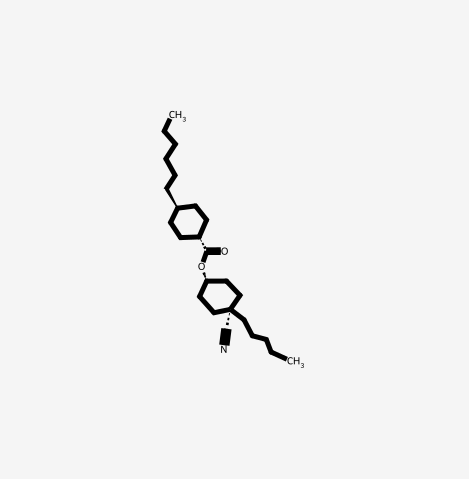 CCCCCC[C@H]1CC[C@H](C(=O)O[C@H]2CC[C@](C#N)(CCCCC)CC2)CC1